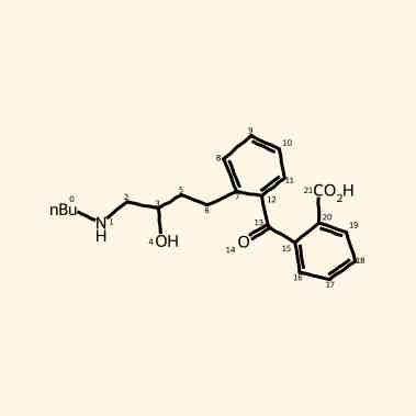 CCCCNCC(O)CCc1ccccc1C(=O)c1ccccc1C(=O)O